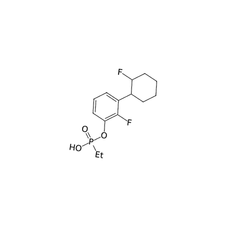 CCP(=O)(O)Oc1cccc(C2CCCCC2F)c1F